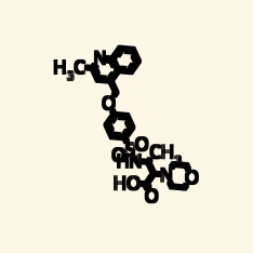 Cc1cc(COc2ccc(S(=O)(=O)NC(C)C(C(=O)O)N3CCOCC3)cc2)c2ccccc2n1